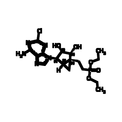 CCOP(=O)(CC[C@]12C[C@@H]1[C@@H](n1cnc3c(N)nc(Cl)nc31)[C@H](O)[C@@H]2O)OCC